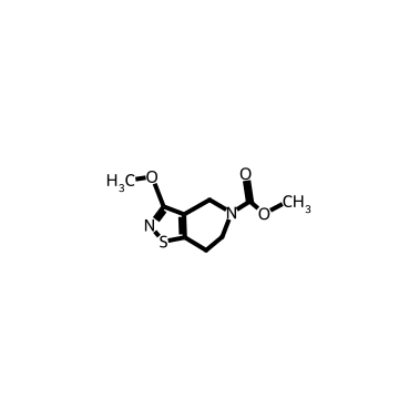 COC(=O)N1CCc2snc(OC)c2C1